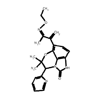 C=C(/C(C)=N\OCC)c1ccc2[nH]c(=O)n3c2c1OC(C)(C)C3c1ccccn1